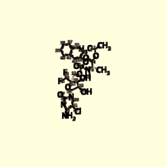 CC(C)OC(=O)[C@H](C)N[P@](=O)(OC[C@@]1(C(F)F)O[C@@H](n2cc(Cl)c(N)nc2=O)[C@H](O)[C@@H]1O)Oc1ccc2ccccc2c1